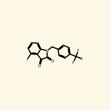 O=C1C(=O)N(Cc2ccc(C(F)(F)F)cc2)c2cccc(I)c21